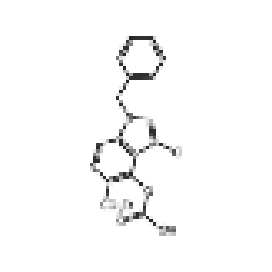 CCOC(=O)c1ncc2c(c(Cl)cn2Cc2ccccc2)c1OC(=O)C(C)(C)C